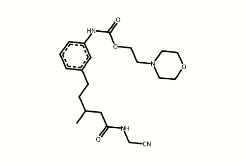 CC(CCc1cccc(NC(=O)OCCN2CCOCC2)c1)CC(=O)NCC#N